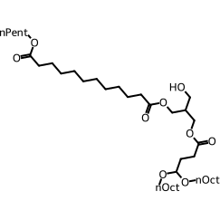 CCCCCCCCOC(CCC(=O)OCC(CO)COC(=O)CCCCCCCCCCC(=O)OCCCCC)OCCCCCCCC